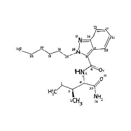 CC[C@H](C)[C@H](NC(=O)c1c2ccccc2nn1CCCCCF)C(N)=O